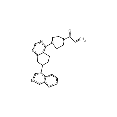 C=CC(=O)N1CCN(c2ncnc3c2CCC(c2cncc4ccccc24)C3)CC1